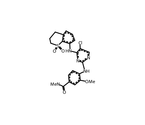 CNC(=O)c1ccc(Nc2ncc(Cl)c(Nc3cccc4c3S(=O)(=O)CCC4)n2)c(OC)c1